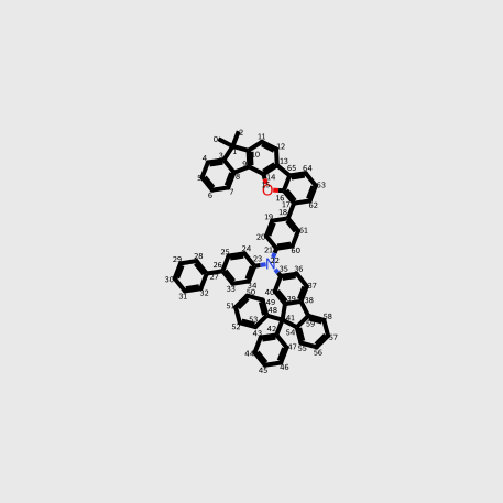 CC1(C)c2ccccc2-c2c1ccc1c2oc2c(-c3ccc(N(c4ccc(-c5ccccc5)cc4)c4ccc5c(c4)C(c4ccccc4)(c4ccccc4)c4ccccc4-5)cc3)cccc21